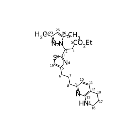 CCOC(=O)CC(c1nc(CCCc2ccc3c(n2)NCCC3)cs1)n1nc(C)cc1C